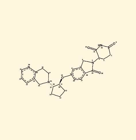 O=C1CCC(N2Cc3cc(O[C@H]4CCC[C@@H]4N4CCc5ncccc5C4)ccc3C2=O)C(=O)N1